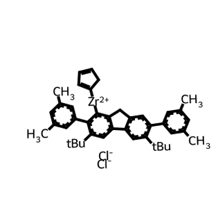 Cc1cc(C)cc(-c2cc3c(cc2C(C)(C)C)-c2cc(C(C)(C)C)c(-c4cc(C)cc(C)c4)[c]([Zr+2][C]4=CC=CC4)c2C3)c1.[Cl-].[Cl-]